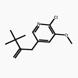 C=C(Cc1cnc(Cl)c(OC)c1)C(C)(C)C